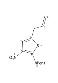 C=CCc1cc([N+](=O)[O-])c(CCCCC)s1